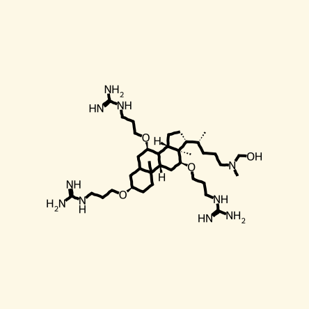 C[C@H](CCCN(C)CO)[C@H]1CC[C@H]2C3[C@H](OCCCNC(=N)N)CC4C[C@H](OCCCNC(=N)N)CCC4(C)[C@H]3C[C@H](OCCCNC(=N)N)[C@]12C